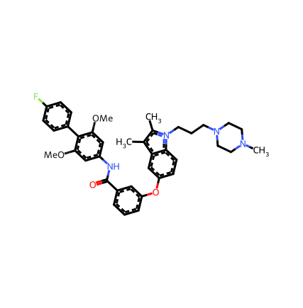 COc1cc(NC(=O)c2cccc(Oc3ccc4c(c3)c(C)c(C)n4CCCN3CCN(C)CC3)c2)cc(OC)c1-c1ccc(F)cc1